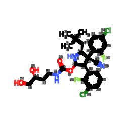 CC(C)(C)C[C@@H]1N[C@H](OC(=O)NCC[C@@H](O)CO)[C@H](c2cccc(Cl)c2F)[C@@]1(C#N)c1ccc(Cl)cc1F